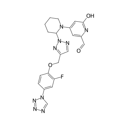 O=Cc1cc(N2CCCCC2n2ncc(COc3ccc(-n4cnnn4)cc3F)n2)cc(O)n1